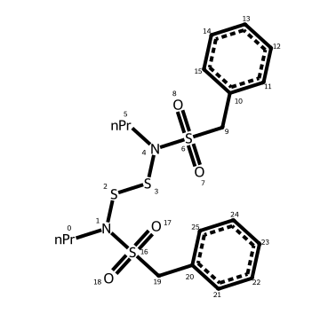 CCCN(SSN(CCC)S(=O)(=O)Cc1ccccc1)S(=O)(=O)Cc1ccccc1